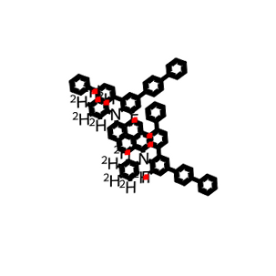 [2H]c1c([2H])c([2H])c(N(c2c(F)cc(-c3ccc(-c4ccccc4)cc3)cc2-c2ccc(-c3ccccc3)cc2)c2ccc3ccc4c(N(c5c(F)cc(-c6ccc(-c7ccccc7)cc6)cc5-c5ccc(-c6ccccc6)cc5)c5c([2H])c([2H])c([2H])c([2H])c5[2H])ccc5ccc2c3c54)c([2H])c1[2H]